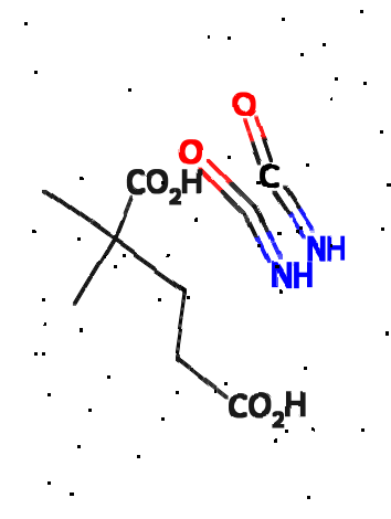 CC(C)(CCC(=O)O)C(=O)O.N=C=O.N=C=O